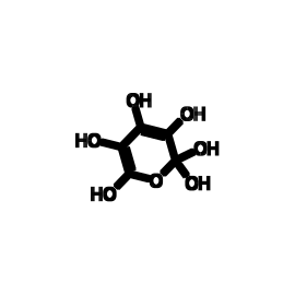 OC1=C(O)C(O)=C(O)C(O)(O)O1